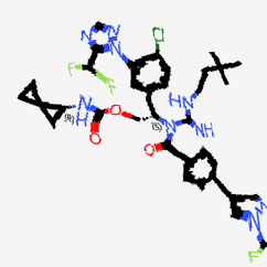 CC(C)(C)CCNC(=N)N(C(=O)c1ccc(-c2cnn(C(F)F)c2)cc1)[C@H](COC(=O)N[C@@H]1CC12CC2)c1ccc(Cl)c(-n2ncnc2C(F)F)c1